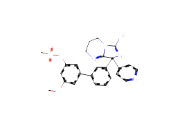 COc1cc(OS(C)(=O)=O)cc(-c2cccc(C3(c4ccncc4)N=C(N)N4CCCN=C43)c2)c1